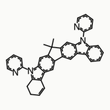 CC1(C)c2cc3c(cc2-c2cc4c5ccccc5n(-c5ccccn5)c4cc21)c1c(n3-c2ccccn2)CCC=C1